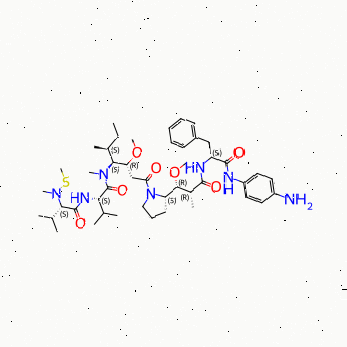 CC[C@H](C)[C@@H]([C@@H](CC(=O)N1CCC[C@H]1[C@H](OC)[C@@H](C)C(=O)N[C@@H](Cc1ccccc1)C(=O)Nc1ccc(N)cc1)OC)N(C)C(=O)[C@@H](NC(=O)[C@H](C(C)C)N(C)SC)C(C)C